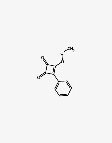 COOc1c(-c2ccccc2)c(=O)c1=O